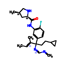 C=N/C=N\C(CCC1CC1)(/C(C)=C/C)c1ccc(F)c(NC(=O)[C@H]2C[C@@H](C)CN2)c1